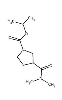 CC(C)OC(=O)N1CCC(C(=O)N(C)C)C1